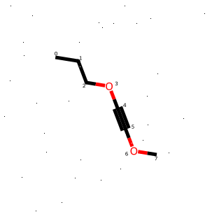 CCCOC#COC